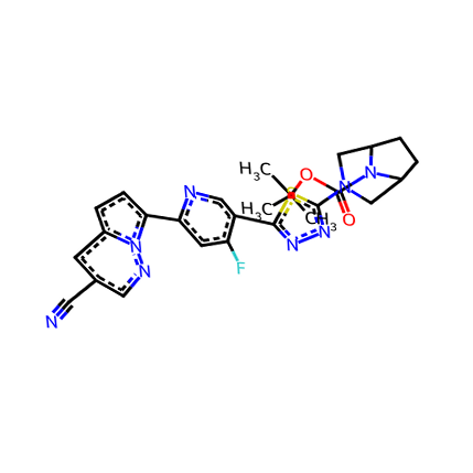 CC(C)(C)OC(=O)N1C2CCC1CN(c1nnc(-c3cnc(-c4ccc5cc(C#N)cnn45)cc3F)s1)C2